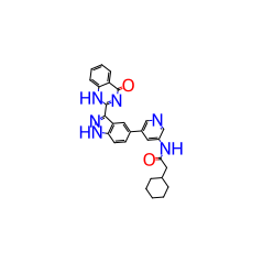 O=C(CC1CCCCC1)Nc1cncc(-c2ccc3[nH]nc(-c4nc(=O)c5ccccc5[nH]4)c3c2)c1